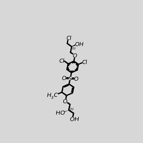 CC1C=C(S(=O)(=O)c2cc(Cl)c(OC[C@H](O)CCl)c(Cl)c2)C=CC1OC[C@@H](O)CO